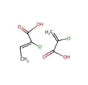 C=C(Cl)C(=O)O.CC=C(Cl)C(=O)O